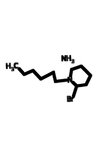 CCCCCCN1CCCCC1Br.N